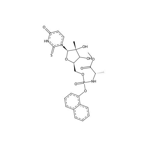 COC(=O)[C@H](C)NP(=O)(OC[C@H]1O[C@@H](n2ccc(=O)[nH]c2=S)[C@](C)(O)C1O)Oc1cccc2ccccc12